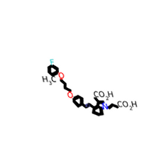 Cc1ccc(F)cc1OCCCCOc1ccc(/C=C/c2cccc3c2c(CC(=O)O)cn3CCCC(=O)O)cc1